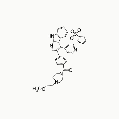 COCCN1CCN(C(=O)c2ccc(C3=C(c4ccncc4)C4c5cc(OS(=O)(=O)c6cccs6)ccc5NC4N=C3)cc2)CC1